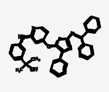 CC(C)(O)c1cccc(Nc2cc(Oc3sc(N=C(c4ccccc4)c4ccccc4)nc3-c3ccccc3)ccn2)c1